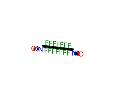 O=C=NCC(F)(F)C(F)(F)C(F)(F)C(F)(F)C(F)(F)C(F)(F)C(F)(F)CN=C=O